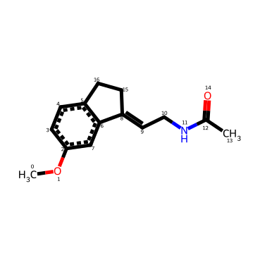 COc1ccc2c(c1)C(=CCNC(C)=O)CC2